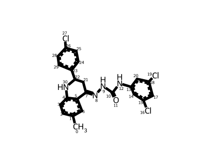 Cc1ccc2c(c1)C(=NNC(=O)Nc1cc(Cl)cc(Cl)c1)CC(c1ccc(Cl)cc1)N2